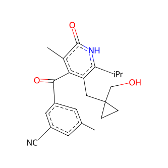 Cc1cc(C#N)cc(C(=O)c2c(CC3(CO)CC3)c(C(C)C)[nH]c(=O)c2C)c1